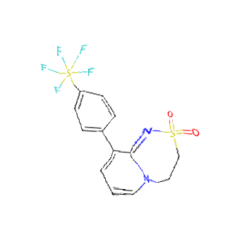 O=S1(=O)CCN2C=CC=C(c3ccc(S(F)(F)(F)(F)F)cc3)C2=N1